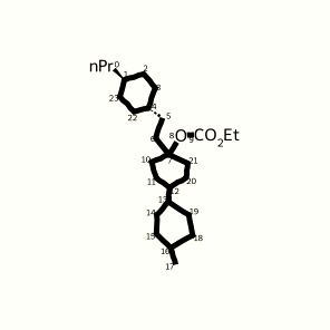 CCC[C@H]1CC[C@H](CCC2(OC(=O)OCC)CCC(C3CCC(C)CC3)CC2)CC1